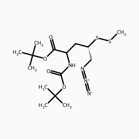 CSS[C@H](CN=[N+]=[N-])CC(NC(=O)OC(C)(C)C)C(=O)OC(C)(C)C